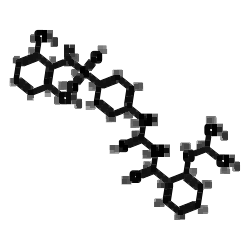 Cc1cccc(C)c1NS(=O)(=O)c1ccc(NC(=S)NC(=O)c2ccccc2OC(C)C)cc1